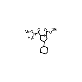 CON(C)C(=O)C1CC(C2CCCCC2)CN1C(=O)OC(C)(C)C